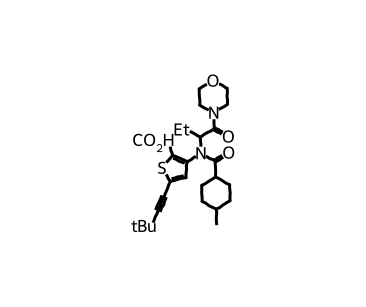 CCC(C(=O)N1CCOCC1)N(C(=O)C1CCC(C)CC1)c1cc(C#CC(C)(C)C)sc1C(=O)O